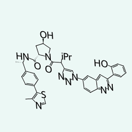 Cc1ncsc1-c1ccc([C@H](C)NC(=O)[C@@H]2C[C@@H](O)CN2C(=O)C(c2cn(-c3ccc4nnc(-c5ccccc5O)cc4c3)nn2)C(C)C)cc1